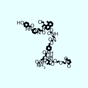 Cc1cccc2c(OC(=O)NCCN(C)C(=O)OCc3ccc(NC(=O)[C@H](CCCNC(N)=O)NC(=O)[C@@H](NC(=O)OCCOCCN4C(=O)C=CC4=O)C(C)C)cc3)cc3c(c12)[C@H](CCl)CN3C(=O)c1cn2cc(NC(=O)c3ccc(O)cc3)ccc2n1